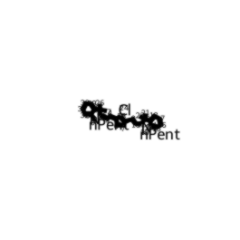 CCCCCN1/C(=C/C=C2\CCC(/C=C/C3=[N+](CCCCC)c4ccccc4C3(C)C)=C2Cl)C(C)(C)c2ccccc21